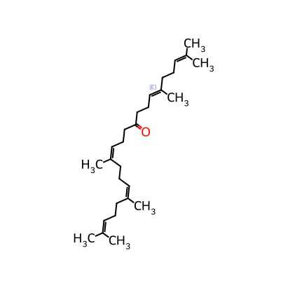 CC(C)=CCCC(C)=CCCC(C)=CCCC(=O)CC/C=C(\C)CCC=C(C)C